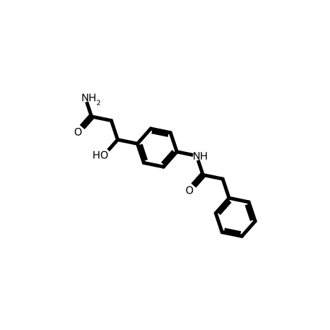 NC(=O)CC(O)c1ccc(NC(=O)Cc2ccccc2)cc1